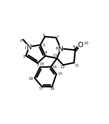 Cn1ccc2c1CCN1C(=O)CCC21c1ccccc1